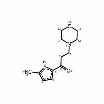 Cc1ccc(C(=O)CCN2CCOCC2)s1